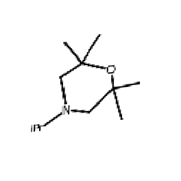 CC(C)N1CC(C)(C)OC(C)(C)C1